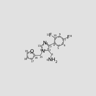 NCc1c(-c2ccc(F)cc2F)ncn1Cc1ccco1